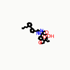 C=CCCc1ccccc1-c1cccc(-c2cc3nc(C)c(C(OC(C)(C)C)C(=O)O)c(-c4ccc5c(c4)C(CC=C)CCO5)n3n2)c1